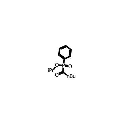 CCCCC(=O)P(=O)(OC(C)C)c1ccccc1